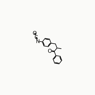 CC(Cc1ccc(N=C=O)cc1)C(=O)c1ccccc1